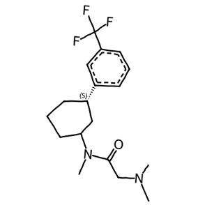 CN(C)CC(=O)N(C)C1CCC[C@H](c2cccc(C(F)(F)F)c2)C1